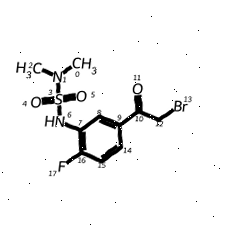 CN(C)S(=O)(=O)Nc1cc(C(=O)CBr)ccc1F